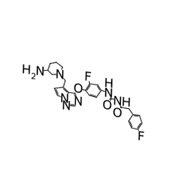 NC1CCCN(Cc2ccn3ncnc(Oc4ccc(NC(=O)NC(=O)Cc5ccc(F)cc5)cc4F)c23)C1